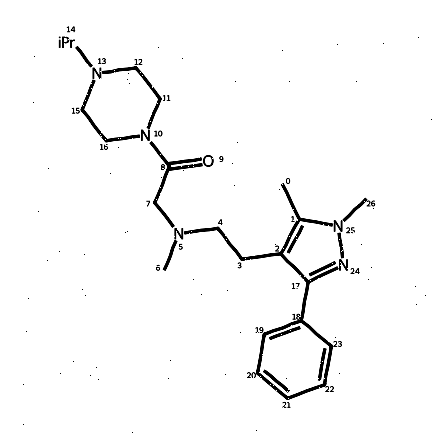 Cc1c(CCN(C)CC(=O)N2CCN(C(C)C)CC2)c(-c2ccccc2)nn1C